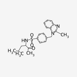 CC(=O)C(CC(C)C)NS(=O)(=O)c1ccc(Cn2c(C)nc3ccccc32)cc1